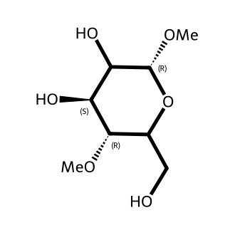 CO[C@@H]1OC(CO)[C@H](OC)[C@@H](O)C1O